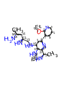 CCOc1ncccc1-c1cc(NCC(=N)/C=C(/C)N)c(NC(C)CC)c(C(C)=N)n1